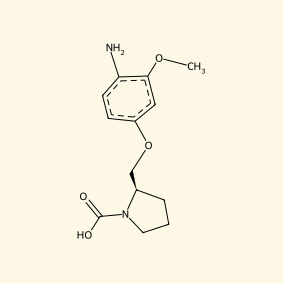 COc1cc(OC[C@H]2CCCN2C(=O)O)ccc1N